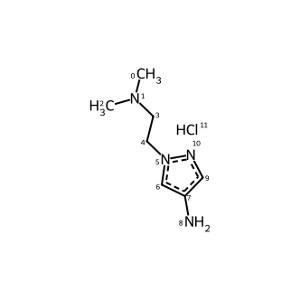 CN(C)CCn1cc(N)cn1.Cl